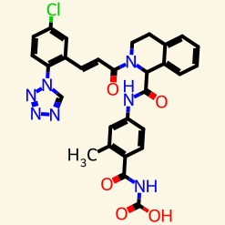 Cc1cc(NC(=O)C2c3ccccc3CCN2C(=O)C=Cc2cc(Cl)ccc2-n2cnnn2)ccc1C(=O)NC(=O)O